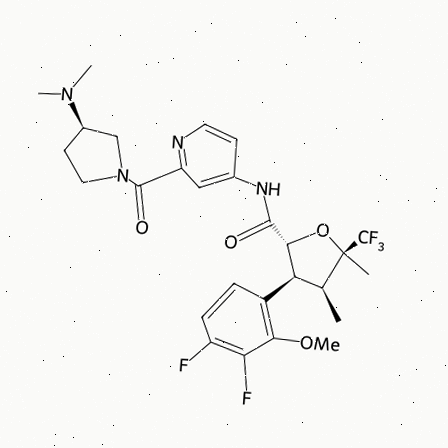 COc1c([C@H]2[C@H](C(=O)Nc3ccnc(C(=O)N4CC[C@@H](N(C)C)C4)c3)O[C@@](C)(C(F)(F)F)[C@H]2C)ccc(F)c1F